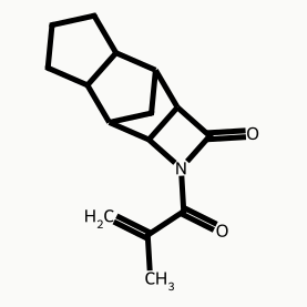 C=C(C)C(=O)N1C(=O)C2C3CC(C4CCCC43)C21